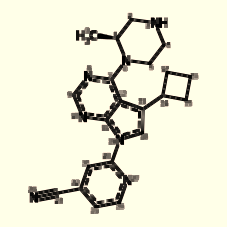 C[C@H]1CNCCN1c1ncnc2c1c(C1CCC1)cn2-c1cc(C#N)ccn1